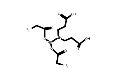 CCC(=O)O[SH](OC(=O)CC)[SH](CCC(=O)O)CCC(=O)O